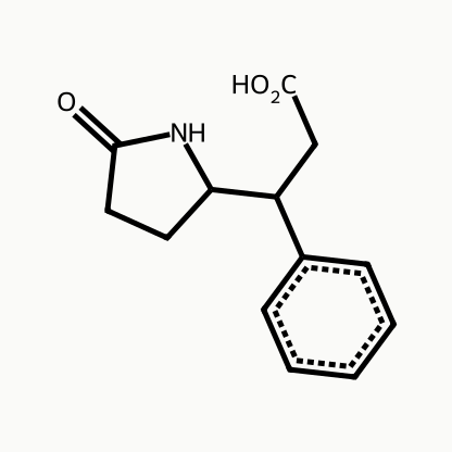 O=C(O)CC(c1ccccc1)C1CCC(=O)N1